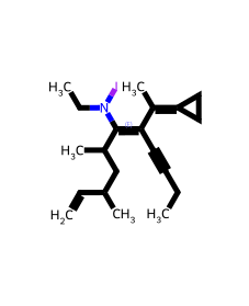 C=CC(C)CC(C)/C(=C(\C#CCC)C(C)=C1CC1)N(I)CC